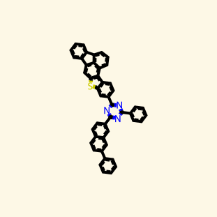 c1ccc(-c2ccc3ccc(-c4nc(-c5ccccc5)nc(-c5ccc6c(c5)sc5cc7c8c(cccc8c56)-c5ccccc5-7)n4)cc3c2)cc1